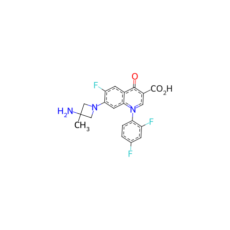 CC1(N)CN(c2cc3c(cc2F)c(=O)c(C(=O)O)cn3-c2ccc(F)cc2F)C1